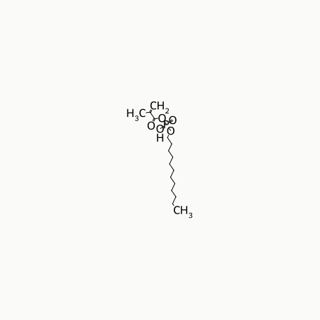 C=C(C)C(=O)OP(=O)(O)OCCCCCCCCCCCC